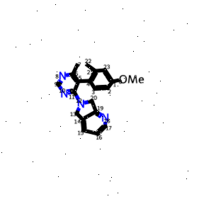 COc1ccc(-c2c(C)ncnc2N2Cc3cccnc3C2)c(C)c1